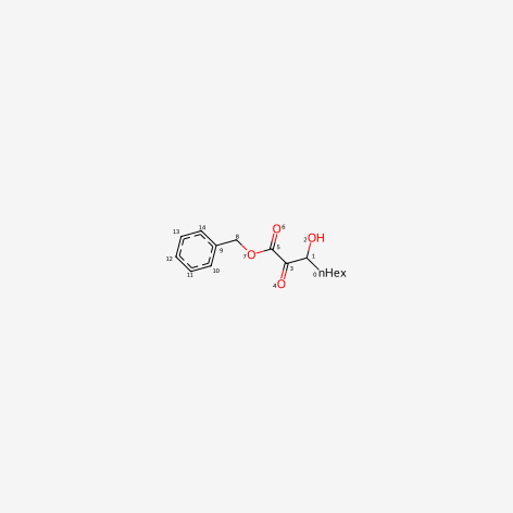 CCCCCCC(O)C(=O)C(=O)OCc1ccccc1